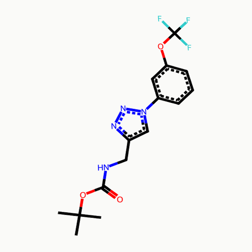 CC(C)(C)OC(=O)NCc1cn(-c2cccc(OC(F)(F)F)c2)nn1